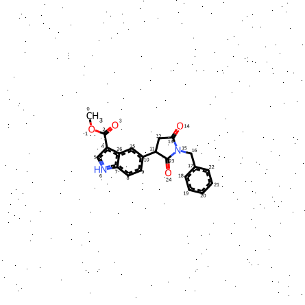 COC(=O)c1c[nH]c2ccc(C3CC(=O)N(Cc4ccccc4)C3=O)cc12